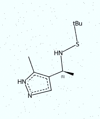 Cc1[nH]ncc1[C@H](C)NSC(C)(C)C